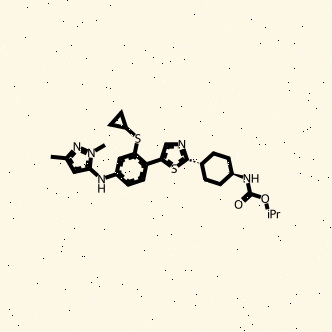 Cc1cc(Nc2ccc(-c3cnc([C@H]4CC[C@H](NC(=O)OC(C)C)CC4)s3)c(SC3CC3)c2)n(C)n1